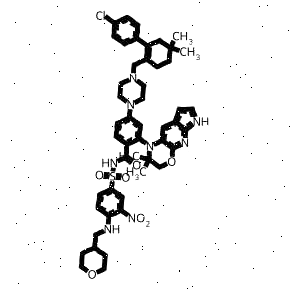 CC1(C)CCC(CN2CCN(c3ccc(C(=O)NS(=O)(=O)c4ccc(NCC5CCOCC5)c([N+](=O)[O-])c4)c(N4c5cc6cc[nH]c6nc5OCC4(C)C)c3)CC2)=C(c2ccc(Cl)cc2)C1